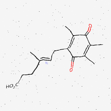 CC1=C(C)C(=O)C(C/C=C(\C)CCC(=O)O)=C(C)C1=O